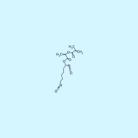 C=C(C)C(=O)OC(=C)C(=O)OC(CCCCCN=C=O)N=C=O